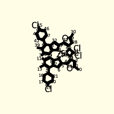 Cc1ccc(C2=Cc3c(cc(C)c(C)c3-c3ccc(Cl)cc3)[CH]2[Zr]([CH]2C(c3ccc(C)o3)=Cc3c2cc(C)c(C)c3-c2ccc(Cl)cc2)=[Si]2CC(Cl)(Cl)C2)o1